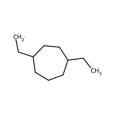 [CH2]CC1CCCC(CC)CC1